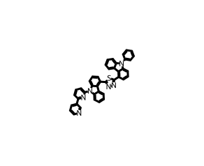 c1ccc(-n2c3ccccc3c3c(-c4nnc(-c5cccc6c5c5ccccc5n6-c5cccc(-c6cccnc6)n5)s4)cccc32)cc1